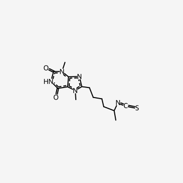 CC(CCCCc1nc2c(c(=O)[nH]c(=O)n2C)n1C)N=C=S